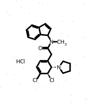 CN(C(=O)CC1=CC=C(Cl)[C@H](Cl)[C@H]1N1CCCC1)C1C=Cc2ccccc21.Cl